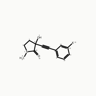 CN1CCC(O)(C#Cc2ccc[c]([K])c2)C1=O